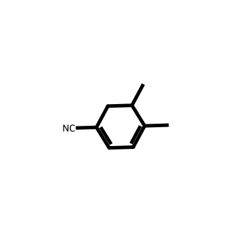 CC1=CC=C(C#N)CC1C